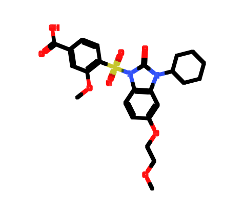 COCCOc1ccc2c(c1)n(C1CCCCC1)c(=O)n2S(=O)(=O)c1ccc(C(=O)O)cc1OC